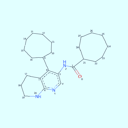 O=C(Nc1cnc2c(c1C1CCCCCCC1)CCCN2)C1CCCCCCC1